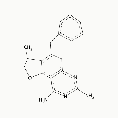 CC1COc2c1c(Cc1ccccc1)cc1nc(N)nc(N)c21